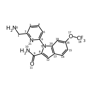 NCc1cccc(-n2c(C(N)=O)cc3ccc(OC(F)(F)F)cc32)n1